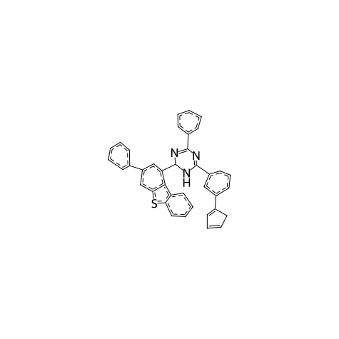 C1=CCC(c2cccc(C3=NC(c4ccccc4)=NC(c4cc(-c5ccccc5)cc5sc6ccccc6c45)N3)c2)=C1